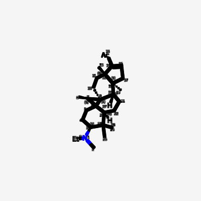 CCN(C)[C@H]1CCC23[C@@H](C)[C@]24CC[C@]2(C)C(C(C)=O)=CC[C@@]2(C)[C@@H]4CC[C@H]3C1(C)C